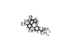 CCc1cc(O)c(-c2ccc(C(C)N)cc2)c2c1[nH]c(=O)c1sccc12